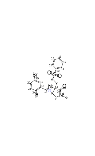 CN1CCC(CCS(=O)(=O)c2ccccc2)(/N=C/c2cc(Br)ccc2F)C1=O